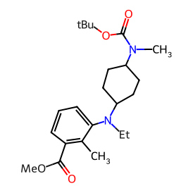 CCN(c1cccc(C(=O)OC)c1C)C1CCC(N(C)C(=O)OC(C)(C)C)CC1